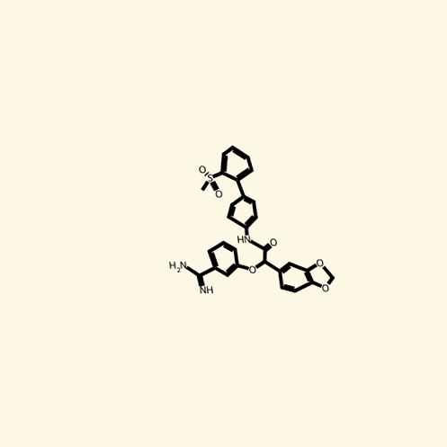 CS(=O)(=O)c1ccccc1-c1ccc(NC(=O)C(Oc2cccc(C(=N)N)c2)c2ccc3c(c2)OCO3)cc1